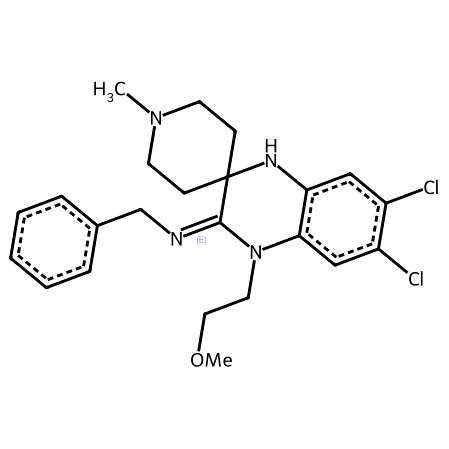 COCCN1/C(=N/Cc2ccccc2)C2(CCN(C)CC2)Nc2cc(Cl)c(Cl)cc21